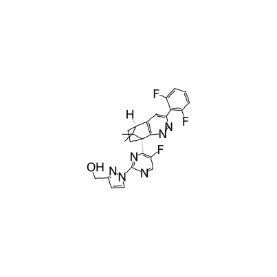 CC1(C)[C@H]2CC[C@]1(c1nc(-n3ccc(CO)n3)ncc1F)c1nnc(-c3c(F)cccc3F)cc12